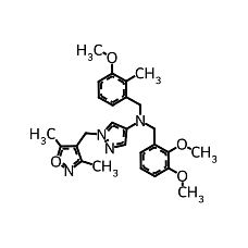 COc1cccc(CN(Cc2cccc(OC)c2OC)c2cnn(Cc3c(C)noc3C)c2)c1C